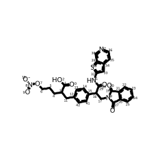 O=C(O)C(CCCO[N+](=O)[O-])Cc1ccc(C(CN2C(=O)c3ccccc3C2=O)C(=O)Nc2cc3ccncc3s2)cc1